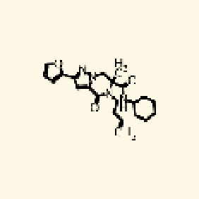 C=CCCN1C(=O)c2cc(-c3ccco3)nn2CC1(C)C(=O)NC1CCCCC1